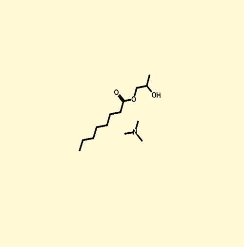 CCCCCCCC(=O)OCC(C)O.CN(C)C